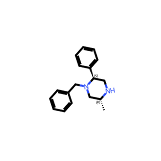 C[C@@H]1CN(Cc2ccccc2)[C@@H](c2ccccc2)CN1